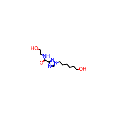 O=C(NCCO)c1ncn(CCCCCCO)n1